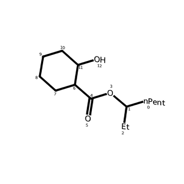 CCCCCC(CC)OC(=O)C1CCCCC1O